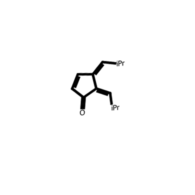 CC(C)C=C1C=CC(=O)C1=CC(C)C